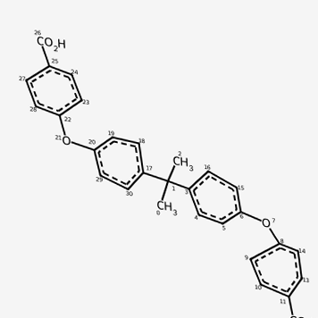 CC(C)(c1ccc(Oc2ccc(C(=O)O)cc2)cc1)c1ccc(Oc2ccc(C(=O)O)cc2)cc1